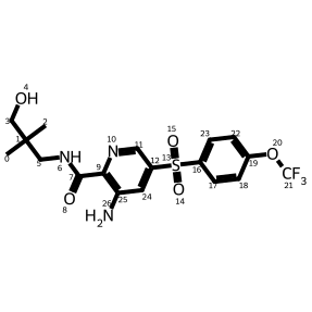 CC(C)(CO)CNC(=O)c1ncc(S(=O)(=O)c2ccc(OC(F)(F)F)cc2)cc1N